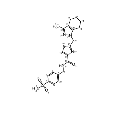 NS(=O)(=O)c1ccc(CNC(=O)c2csc(Cn3nc(C(F)(F)F)c4c3CCCC4)n2)cc1